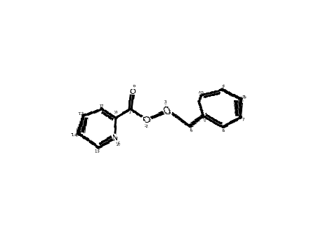 O=C(OOCc1ccccc1)c1ccccn1